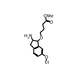 CCOc1ccc2c(c1)C(OCCCC(=O)OC)C(N)C2